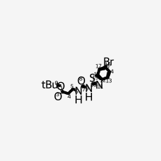 CC(C)(C)OC(=O)CCNC(=O)Nc1nc2ccc(Br)cc2s1